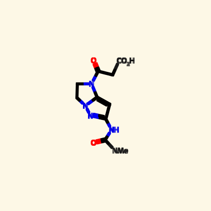 CNC(=O)Nc1cc2n(n1)CCN2C(=O)CC(=O)O